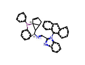 C[C@H](/N=C/c1nc2ccccc2n1-c1c2ccccc2cc2ccccc12)C1C2CC=C[C@]21P(c1ccccc1)c1ccccc1